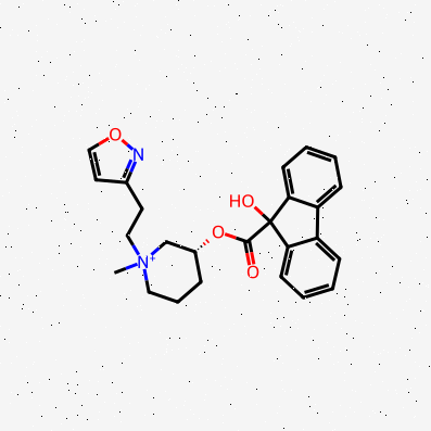 C[N+]1(CCc2ccon2)CCC[C@@H](OC(=O)C2(O)c3ccccc3-c3ccccc32)C1